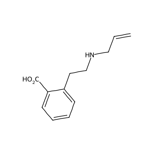 C=CCNCCc1ccccc1C(=O)O